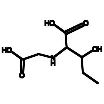 CCC(O)C(NCC(=O)O)C(=O)O